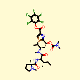 CC[C@H](C)[C@H](NC(=O)[C@@]1(C)CCCN1C)C(=O)N(C)[C@H](C[C@@H](OC(=O)N(C)C)c1nc(C(=O)Oc2c(F)c(F)c(F)c(F)c2F)cs1)C(C)C